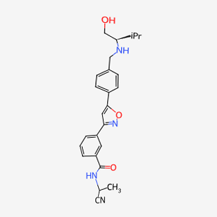 CC(C#N)NC(=O)c1cccc(-c2cc(-c3ccc(CN[C@@H](CO)C(C)C)cc3)on2)c1